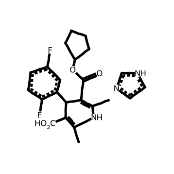 CC1=C(C(=O)O)C(c2cc(F)ccc2F)C(C(=O)OC2CCCC2)=C(C)N1.c1c[nH]cn1